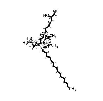 CCCCCCCCCCCCCCCC[Si](C)(O[Si](C)(C)O[Si](C)(C)C)O[Si](C)(CCCOCCCOCC(O)CO)O[Si](C)(C)C